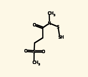 CN(SS)C(=O)CCS(C)(=O)=O